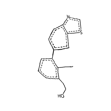 Cc1c(CO)cccc1-c1ccc2ncsc2c1